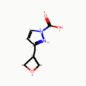 O=C(O)n1ccc(C2COC2)n1